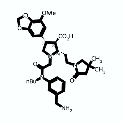 CCCCN(C(=O)CN1C[C@H](c2cc(OC)c3c(c2)OCO3)[C@@H](C(=O)O)[C@@H]1CCN1CC(C)(C)CC1=O)c1cccc(CN)c1